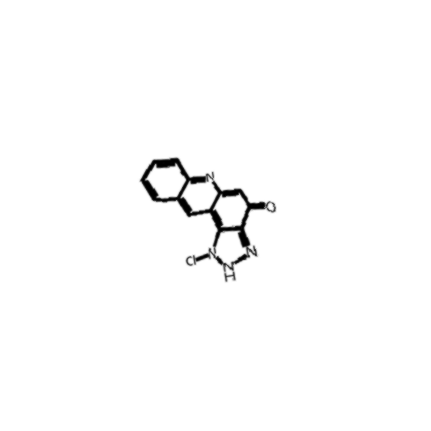 O=c1cc2nc3ccccc3cc2c2n(Cl)[nH]nc1-2